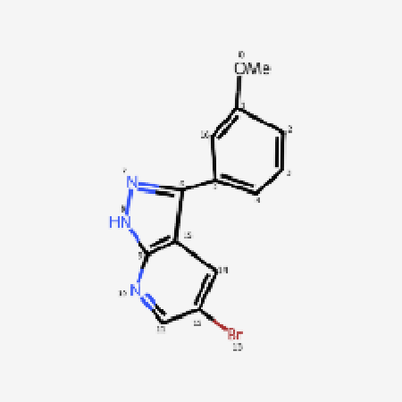 COc1cccc(-c2n[nH]c3ncc(Br)cc23)c1